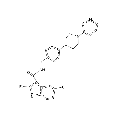 CCc1nc2ccc(Cl)cn2c1C(=O)NCc1ccc(C2CCN(c3cccnc3)CC2)cc1